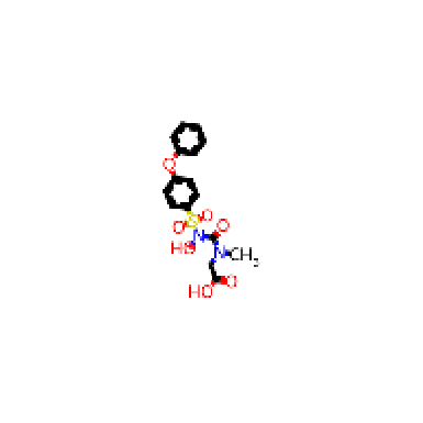 CN(CC(=O)O)C(=O)N(O)S(=O)(=O)c1ccc(Oc2ccccc2)cc1